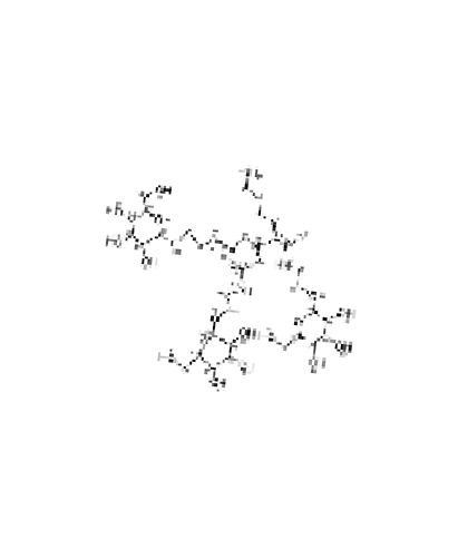 NCCCC[C@@H](C(=O)NCCOC1OC(CO)C(O)C(O)C1O)N(CC(=O)NCCOC1OC(CO)C(O)C(O)C1O)CC(=O)NCCOC1OC(CO)C(O)C(O)C1O